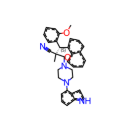 COc1ccccc1[C@H](c1cccc2ccccc12)C(C)(C#N)C(=O)N1CCN(c2cccc3[nH]ccc23)CC1